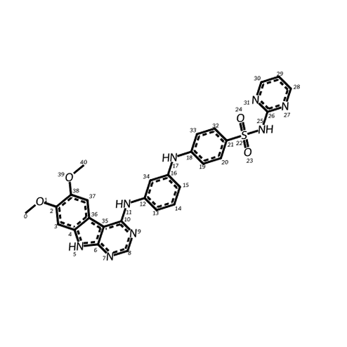 COc1cc2[nH]c3ncnc(Nc4cccc(Nc5ccc(S(=O)(=O)Nc6ncccn6)cc5)c4)c3c2cc1OC